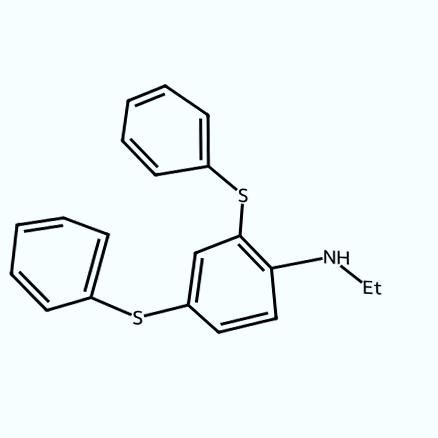 CCNc1ccc(Sc2ccccc2)cc1Sc1ccccc1